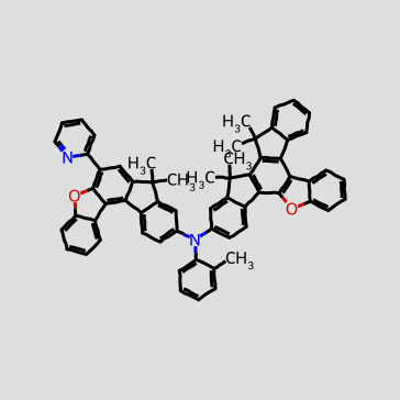 Cc1ccccc1N(c1ccc2c(c1)C(C)(C)c1cc(-c3ccccn3)c3oc4ccccc4c3c1-2)c1ccc2c(c1)C(C)(C)c1c3c(c4c(oc5ccccc54)c1-2)-c1ccccc1C3(C)C